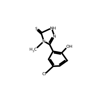 Cn1c(-c2cc(Cl)ccc2O)n[nH]c1=S